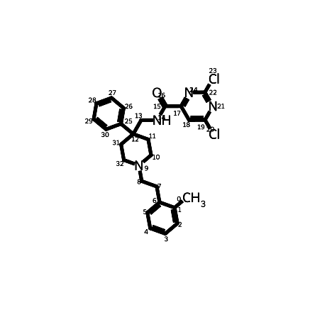 Cc1ccccc1CCN1CCC(CNC(=O)c2cc(Cl)nc(Cl)n2)(c2ccccc2)CC1